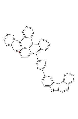 c1ccc(-c2c3ccccc3c(-c3ccc(-c4ccc5oc6ccc7ccccc7c6c5c4)cc3)c3ccccc23)c(-c2cccc3ccccc23)c1